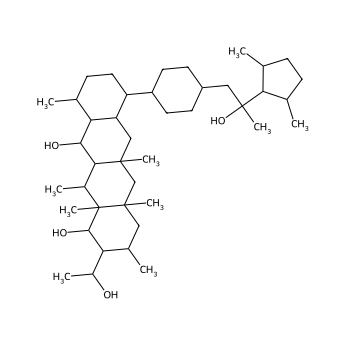 CC(O)C1C(C)CC2(C)CC3(C)CC4C(C5CCC(CC(C)(O)C6C(C)CCC6C)CC5)CCC(C)C4C(O)C3C(C)C2(C)C1O